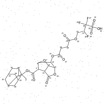 CC1(OC(=O)C2C3OC4C(OC(=O)C42)C3OC(=O)CCC(=O)OCC(F)C(F)(F)S(=O)(=O)O)C2CC3CC(C2)CC1C3